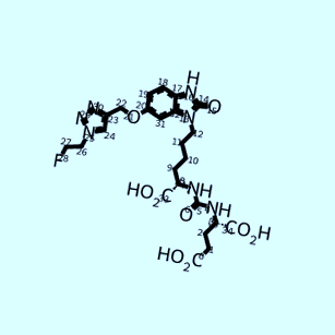 O=C(O)CC[C@H](NC(=O)N[C@@H](CCCCn1c(=O)[nH]c2ccc(OCc3cn(CCF)nn3)cc21)C(=O)O)C(=O)O